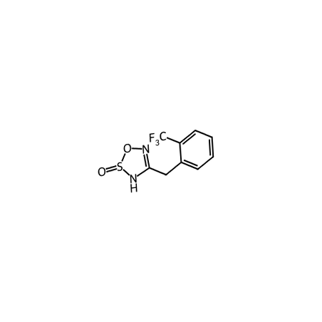 O=S1NC(Cc2ccccc2C(F)(F)F)=NO1